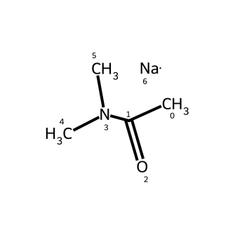 CC(=O)N(C)C.[Na]